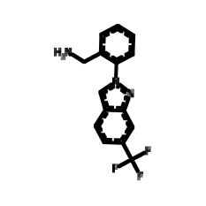 NCc1ccccc1-n1cc2ccc(C(F)(F)F)cc2n1